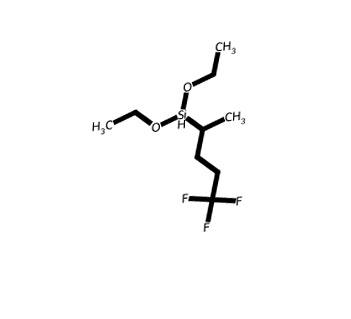 CCO[SiH](OCC)C(C)CCC(F)(F)F